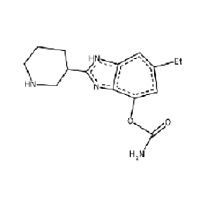 CCc1cc(OC(N)=O)c2nc(C3CCCNC3)[nH]c2c1